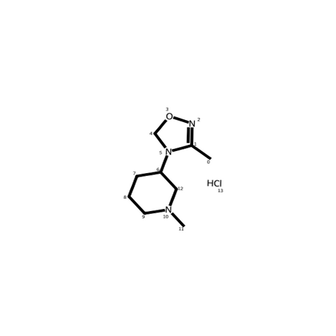 CC1=NOCN1C1CCCN(C)C1.Cl